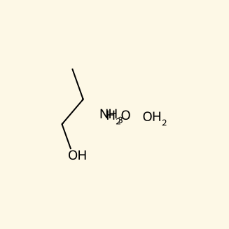 CCCO.N.O.O